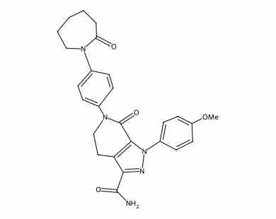 COc1ccc(-n2nc(C(N)=O)c3c2C(=O)N(c2ccc(N4CCCCCC4=O)cc2)CC3)cc1